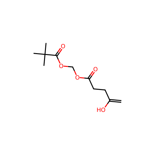 C=C(O)CCC(=O)OCOC(=O)C(C)(C)C